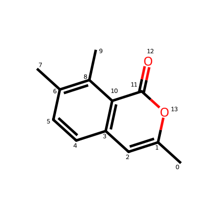 Cc1cc2ccc(C)c(C)c2c(=O)o1